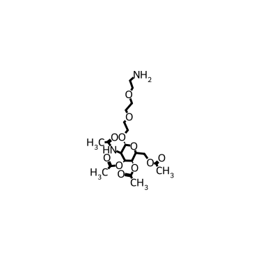 CC(=O)NC1[C@H](OCCOCCOCCN)OC(COC(C)=O)[C@H](OC(C)=O)[C@@H]1OC(C)=O